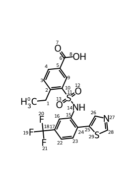 CCc1ccc(C(=O)O)cc1S(=O)(=O)Nc1cc(C(F)(F)F)ccc1-c1cncs1